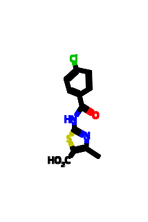 Cc1nc(NC(=O)c2ccc(Cl)cc2)sc1C(=O)O